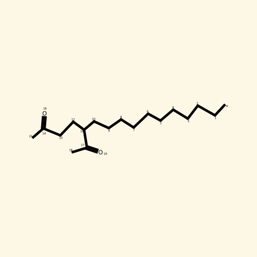 CCCCCCCCCCCC(CCC(C)=O)C(C)=O